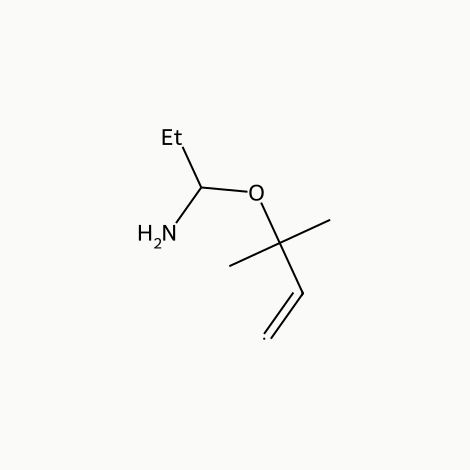 [CH]=CC(C)(C)OC(N)CC